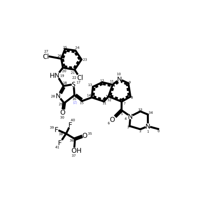 CN1CCN(C(=O)c2ccnc3ccc(/C=C4\SC(Nc5c(Cl)cccc5Cl)=NC4=O)cc23)CC1.O=C(O)C(F)(F)F